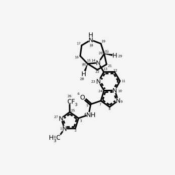 Cn1cc(NC(=O)c2cnn3ccc(N4[C@H]5CCNC[C@@H]4CC5)nc23)c(C(F)(F)F)n1